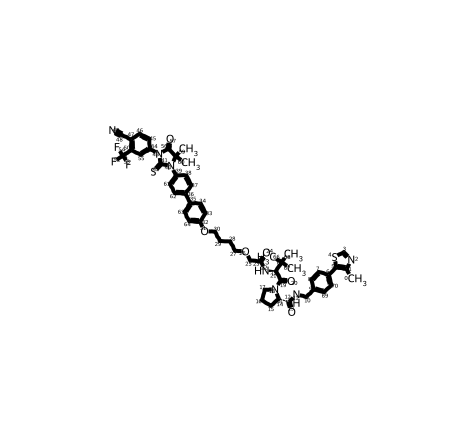 Cc1ncsc1-c1ccc(CNC(=O)[C@@H]2CCCN2C(=O)[C@@H](NC(=O)COCCCCOc2ccc(-c3ccc(N4C(=S)N(c5ccc(C#N)c(C(F)(F)F)c5)C(=O)C4(C)C)cc3)cc2)C(C)(C)C)cc1